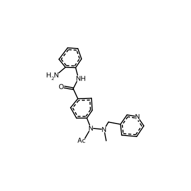 CC(=O)N(c1ccc(C(=O)Nc2ccccc2N)cc1)N(C)Cc1cccnc1